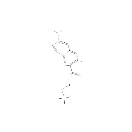 Cc1cc2cc(B(O)O)ccc2nc1C(=O)OCC[Si](C)(C)C